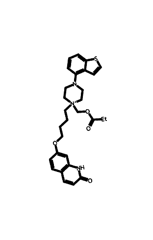 CCC(=O)OC[N+]1(CCCCOc2ccc3ccc(=O)[nH]c3c2)CCN(c2cccc3sccc23)CC1